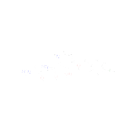 NCC(=O)NC(=O)c1nccc(OCc2ccc(F)cc2)c1O